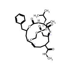 CCOP(=O)(C/C1=N\C(=O)[C@H](CC(C)C)NC(=O)OC(Cc2ccccc2)CC/C=C/CC(C(=O)NC)C1)OCC